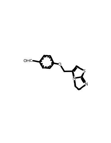 O=Cc1ccc(OCC2=CSC3=NCCN23)cc1